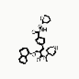 CN(C(=O)/C(=C/c1ccc(C(=O)NOC2CCCCO2)cc1)COc1cccc2ccccc12)C1CCNCC1